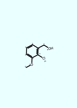 COc1cccc([CH]O)c1Cl